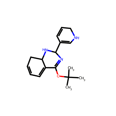 CC(C)(C)OC1=NC(C2=CNCC=C2)NC2CC=CC=C12